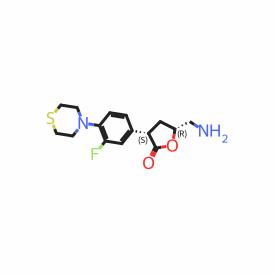 NC[C@H]1C[C@@H](c2ccc(N3CCSCC3)c(F)c2)C(=O)O1